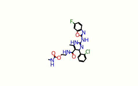 CNC(=O)OCCNC(=O)C1=C(C)NC(Nc2nc3ccc(F)cc3o2)=NC1c1ccccc1Cl